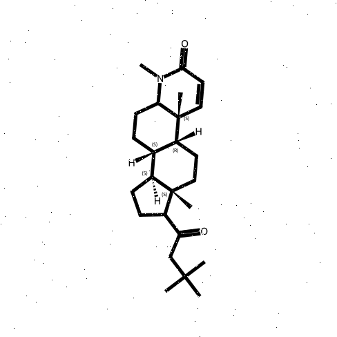 CN1C(=O)C=C[C@@]2(C)C1CC[C@@H]1[C@H]2CC[C@]2(C)C(C(=O)CC(C)(C)C)CC[C@@H]12